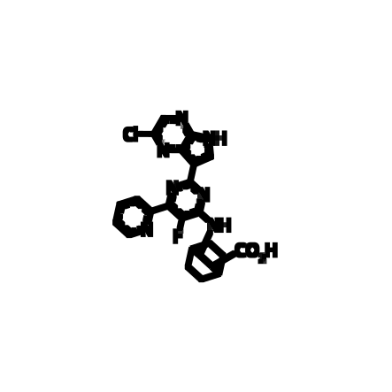 O=C(O)C1C2CCC(CC2)C1Nc1nc(-c2c[nH]c3ncc(Cl)nc23)nc(-c2ccccn2)c1F